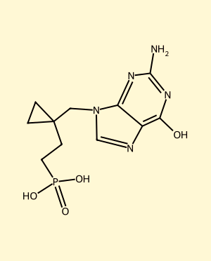 Nc1nc(O)c2ncn(CC3(CCP(=O)(O)O)CC3)c2n1